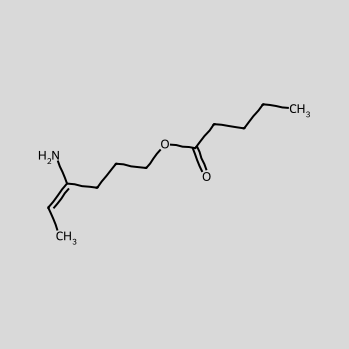 C/C=C(/N)CCCOC(=O)CCCC